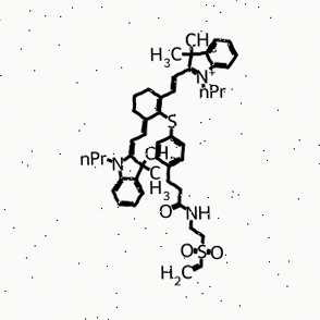 C=CS(=O)(=O)CCNC(=O)CCc1ccc(SC2=C(/C=C/C3=[N+](CCC)c4ccccc4C3(C)C)CCC/C2=C\C=C2\N(CCC)c3ccccc3C2(C)C)cc1